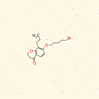 CCCc1c(OCCCCCBr)ccc2c1OCCC2=O